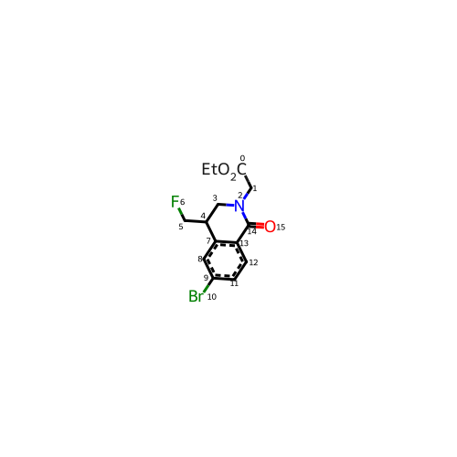 CCOC(=O)CN1CC(CF)c2cc(Br)ccc2C1=O